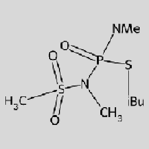 CCC(C)SP(=O)(NC)N(C)S(C)(=O)=O